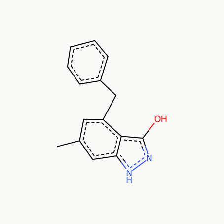 Cc1cc(Cc2ccccc2)c2c(O)n[nH]c2c1